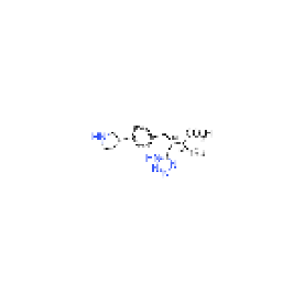 CCCC[C@H](C(=O)O)[C@H](Cc1ccc(C2CCNC2)cc1)c1nnn[nH]1